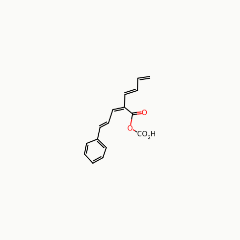 C=CC=CC(=CC=Cc1ccccc1)C(=O)OC(=O)O